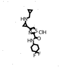 Cl.O=C(NC1CCC(F)(F)CC1)c1nc(C2CC2NCC2CC2)cs1